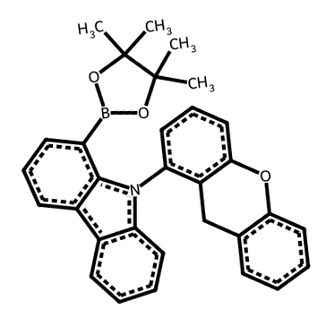 CC1(C)OB(c2cccc3c4ccccc4n(-c4cccc5c4Cc4ccccc4O5)c23)OC1(C)C